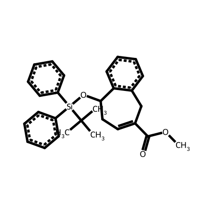 COC(=O)C1=CCC(O[Si](c2ccccc2)(c2ccccc2)C(C)(C)C)c2ccccc2C1